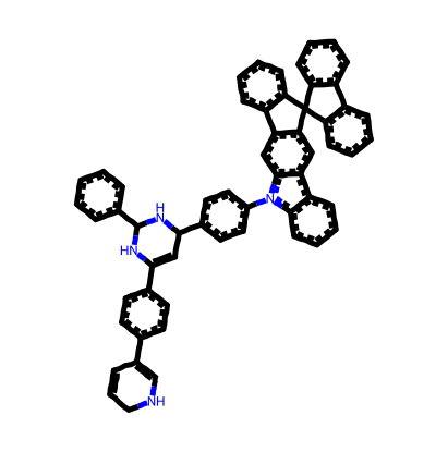 C1=CC(c2ccc(C3=CC(c4ccc(-n5c6ccccc6c6cc7c(cc65)-c5ccccc5C75c6ccccc6-c6ccccc65)cc4)NC(c4ccccc4)N3)cc2)=CNC1